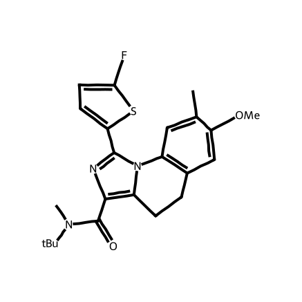 COc1cc2c(cc1C)-n1c(-c3ccc(F)s3)nc(C(=O)N(C)C(C)(C)C)c1CC2